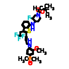 COc1cc(P(C)(C)=O)ccc1NCC#Cc1sc2c(NC3CCN(C(=O)OC(C)(C)C)CC3F)cccc2c1CC(F)(F)F